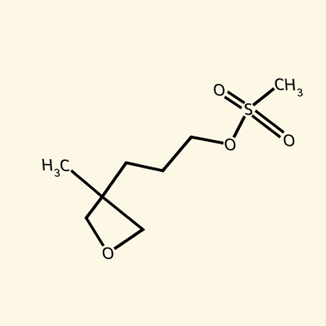 CC1(CCCOS(C)(=O)=O)COC1